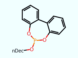 CCCCCCCCCCOp1oc2ccccc2c2ccccc2o1